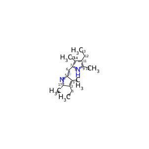 CCC1=C(C)/C(=C\c2[nH]c(C)c(CC)c2C)N=C1C